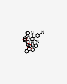 N#Cc1ccc(-c2c(C#N)c(-n3c4ccccc4c4ccccc43)c(-n3c4ccccc4c4cc5c6ccccc6c6ccccc6c5cc43)c(-n3c4ccccc4c4ccccc43)c2C#N)cc1